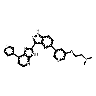 CN(C)CCOc1cncc(-c2ccc3[nH]nc(-c4nc5c(-c6ccsc6)ccnc5[nH]4)c3n2)c1